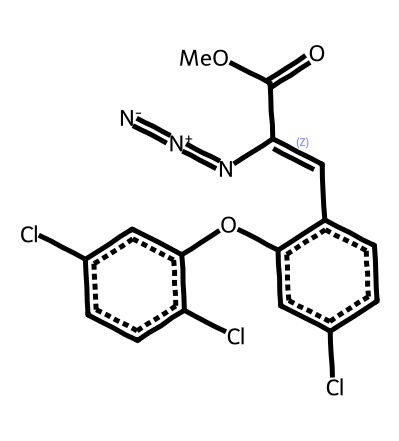 COC(=O)/C(=C/c1ccc(Cl)cc1Oc1cc(Cl)ccc1Cl)N=[N+]=[N-]